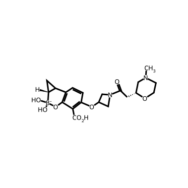 CN1CCO[C@H](CC(=O)N2CC(Oc3ccc4c(c3C(=O)O)O[B-](O)(O)[C@@H]3CC43)C2)C1